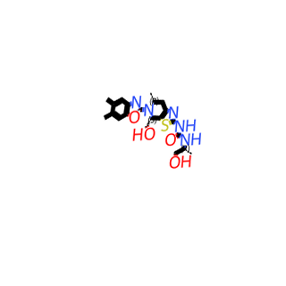 Cc1cc2nc(N3[C@H](C)Cc4nc(NC(=O)N[C@H](C)CO)sc4[C@@H]3CO)oc2cc1C